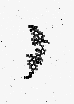 CN1C(=CC=C2CCC(C=CC3=[N+](C)c4ccc5cc(SOOO)ccc5c4C3(C)C)=C2Cl)C(C)(C)c2c1ccc1cc(S(=O)(=O)O)ccc21